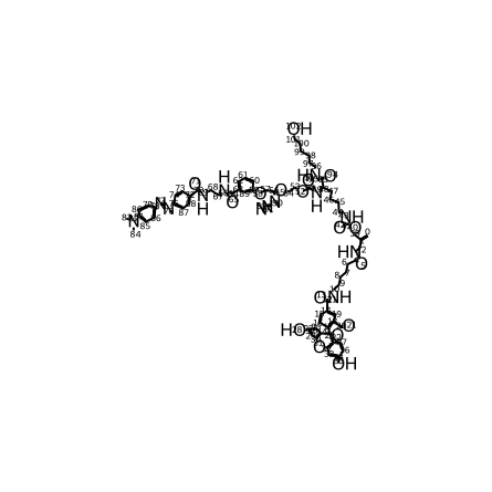 C=C(CNC(=O)CCCCCNC(=O)c1ccc2c(c1)C(=O)OC21c2ccc(O)cc2Oc2cc(O)ccc21)COC(=O)NCCCCC(NC(=O)OCCOC(COc1cccc(C(=O)NCCNC(=O)c2ccc(/N=N/c3ccc(N(C)C)cc3)cc2)c1)N=[N+]=[N-])C(=O)NCCCCCCO